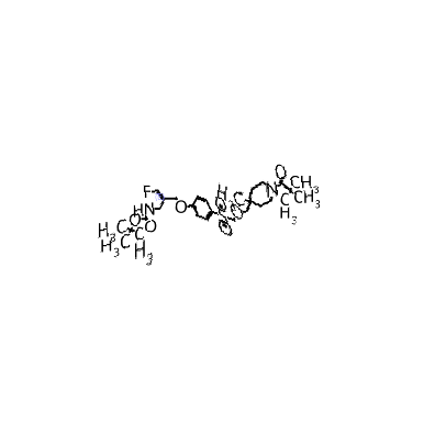 CC1(COCS(=O)(=O)c2ccc(OC/C(=C/F)CNC(=O)OC(C)(C)C)cc2)CCN(C(=O)C(C)(C)C)CC1